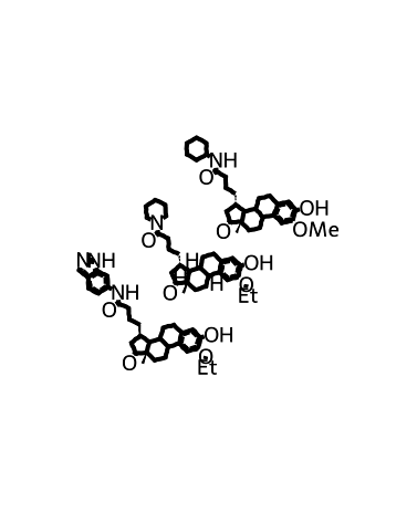 CCOc1cc2c(cc1O)CCC1C2CC[C@]2(C)C(=O)C[C@@H](CCCC(=O)Nc3ccc4cn[nH]c4c3)C12.CCOc1cc2c(cc1O)CC[C@H]1[C@@H]3[C@@H](CCCC(=O)N4CCCCC4)CC(=O)[C@@]3(C)CC[C@H]21.COc1cc2c(cc1O)CCC1C2CC[C@]2(C)C(=O)C[C@H](CCCC(=O)NC3CCCCC3)C12